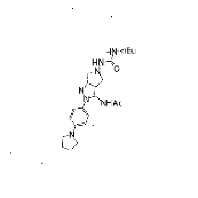 CCCCNC(=O)NN1Cc2nn(-c3ccc(N4CCCC4)cc3)c(NC(C)=O)c2C1